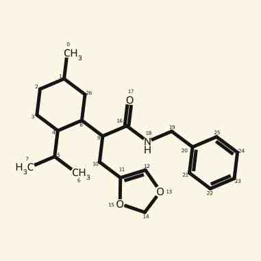 CC1CCC(C(C)C)C(C(CC2=COCO2)C(=O)NCc2ccccc2)C1